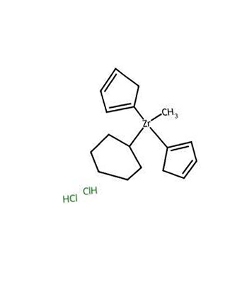 Cl.Cl.[CH3][Zr]([C]1=CC=CC1)([C]1=CC=CC1)[CH]1CCCCC1